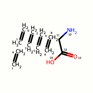 C=C.C=C.C=C.C=C.C=C.NCC(=O)O